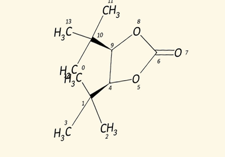 CC(C)(C)[C@@H]1OC(=O)O[C@@H]1C(C)(C)C